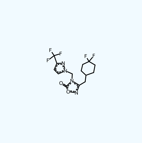 O=c1onc(CC2CCC(F)(F)CC2)n1Cn1ccc(C(F)(F)F)n1